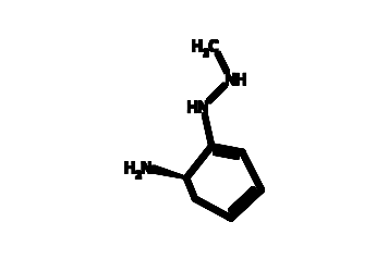 CNNC1=CC=CC[C@H]1N